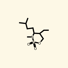 CCC1COS(=O)(=O)N(C)C1CCC(C)C